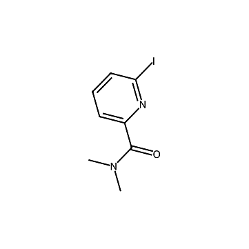 CN(C)C(=O)c1cccc(I)n1